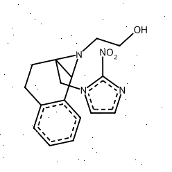 O=[N+]([O-])c1nccn1CC12CCc3ccccc3C1N2CCO